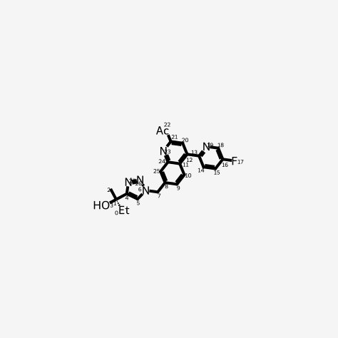 CC[C@@](C)(O)c1cn(Cc2ccc3c(-c4ccc(F)cn4)cc(C(C)=O)nc3c2)nn1